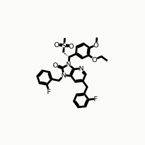 CCOc1cc([C@@H](CS(C)(=O)=O)n2c(=O)n(Cc3ccccc3F)c3cc(Cc4ccccc4F)cnc32)ccc1OC